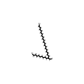 [CH2]CC(CCCCCCCCCC)CCCCCCCCCCCCCCCCCCCCC